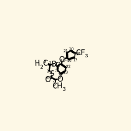 C=C(Br)CSC(=O)C(C)Oc1ccc(Oc2ccc(C(F)(F)F)cc2)cc1